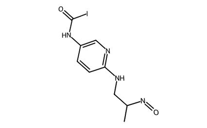 CC(CNc1ccc(NC(=O)I)cn1)N=O